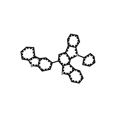 c1ccc(-n2c3ccccc3c3cc(-c4ccc5sc6ccccc6c5c4)c4sc5ccccc5c4c32)cc1